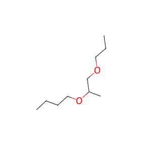 CCCCOC(C)COCCC